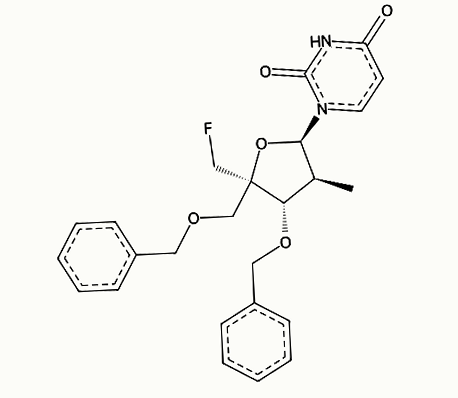 C[C@@H]1[C@H](n2ccc(=O)[nH]c2=O)O[C@](CF)(COCc2ccccc2)[C@H]1OCc1ccccc1